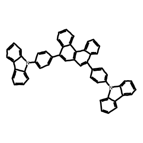 c1ccc2c(c1)c(-c1ccc(-n3c4ccccc4c4ccccc43)cc1)cc1cc(-c3ccc(-n4c5ccccc5c5ccccc54)cc3)c3ccccc3c12